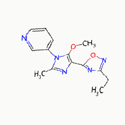 CCc1noc(-c2nc(C)n(-c3cccnc3)c2OC)n1